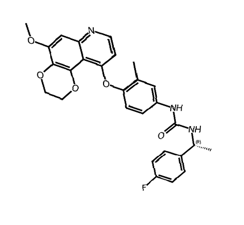 COc1cc2nccc(Oc3ccc(NC(=O)N[C@H](C)c4ccc(F)cc4)cc3C)c2c2c1OCCO2